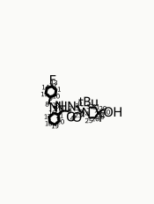 CC(C)(C)C(NC(=O)c1nn(Cc2ccc(F)cc2)c2ccccc12)C(=O)N1CCC(F)(CO)CC1